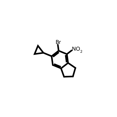 O=[N+]([O-])c1c(Br)c(C2CC2)cc2c1CCC2